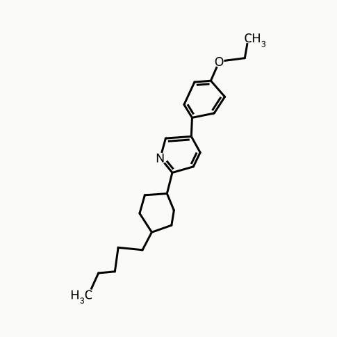 CCCCCC1CCC(c2ccc(-c3ccc(OCC)cc3)cn2)CC1